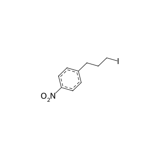 O=[N+]([O-])c1ccc(CCCI)cc1